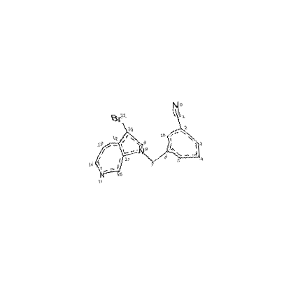 N#Cc1cccc(Cn2cc(Br)c3ccncc32)c1